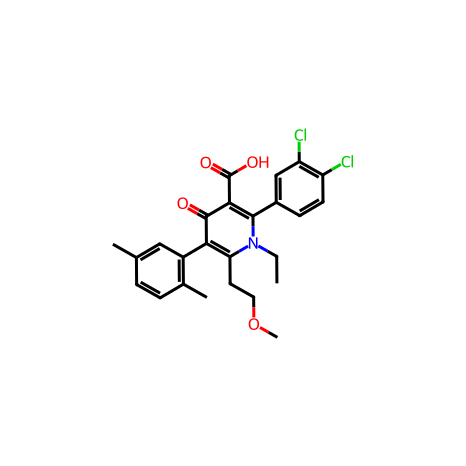 CCn1c(CCOC)c(-c2cc(C)ccc2C)c(=O)c(C(=O)O)c1-c1ccc(Cl)c(Cl)c1